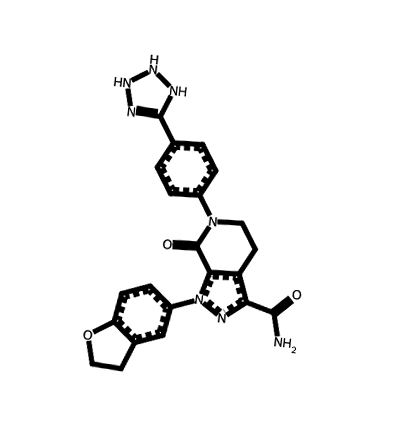 NC(=O)c1nn(-c2ccc3c(c2)CCO3)c2c1CCN(c1ccc(C3=NNNN3)cc1)C2=O